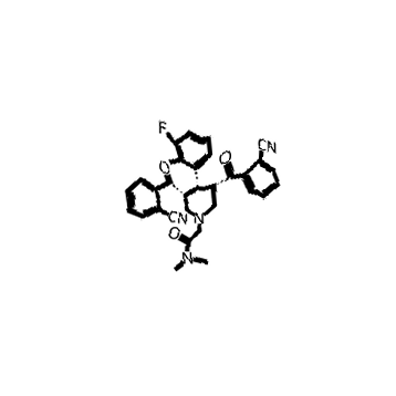 Cc1c(F)cccc1[C@H]1[C@@H](C(=O)c2ccccc2C#N)CN(CC(=O)N(C)C)C[C@H]1C(=O)c1ccccc1C#N